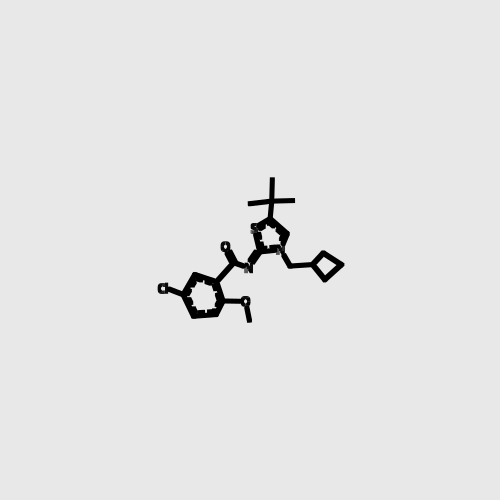 COc1ccc(Cl)cc1C(=O)N=c1sc(C(C)(C)C)cn1CC1CCC1